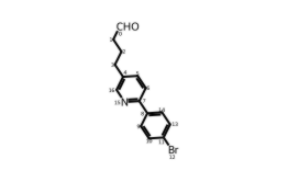 O=CCCCc1ccc(-c2ccc(Br)cc2)nc1